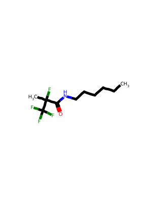 CCCCCCNC(=O)C(C)(F)C(F)(F)F